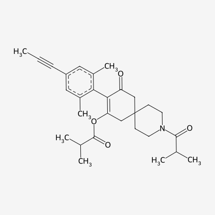 CC#Cc1cc(C)c(C2=C(OC(=O)C(C)C)CC3(CCN(C(=O)C(C)C)CC3)CC2=O)c(C)c1